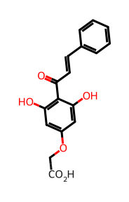 O=C(O)COc1cc(O)c(C(=O)C=Cc2ccccc2)c(O)c1